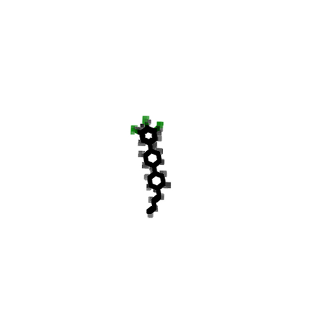 C=C/C=C/C1CCC(C2CCC(c3cc(F)c(F)c(F)c3)CC2)CC1